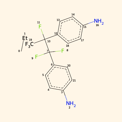 CCC.Nc1ccc(C(F)(F)C(F)(c2ccc(N)cc2)C(F)(F)F)cc1